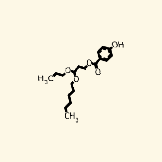 CCCCCCOC(CCOC(=O)c1ccc(O)cc1)OCCC